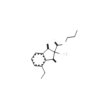 CCCOC(=O)C1(O)C(=O)c2cccc(CC)c2C1=O